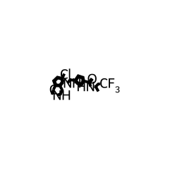 CC(CC(F)(F)F)NC(=O)c1ccc(CNc2c(Cl)ccc3c2CCNCC3)cc1